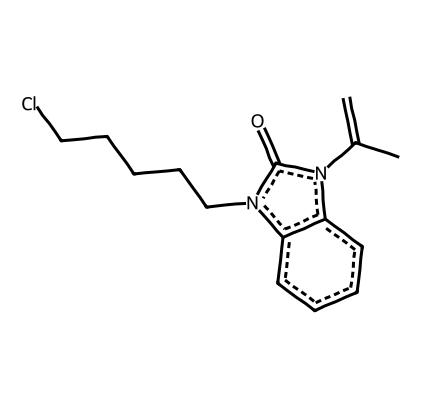 C=C(C)n1c(=O)n(CCCCCCl)c2ccccc21